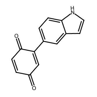 O=C1C=CC(=O)C(c2ccc3[nH]ccc3c2)=C1